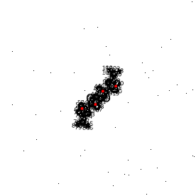 CC(C)(C)c1cc(-n2c3ccccc3c3c(N(c4ccccc4)c4ccc5c(c4)oc4cc(-c6ccccc6)c6c(c(-c7ccccc7)cc7oc8cc(N(c9ccccc9)c9cccc%10c9c9ccccc9n%10-c9cc(C(C)(C)C)cc(C(C)(C)C)c9)ccc8c76)c45)cccc32)cc(C(C)(C)C)c1